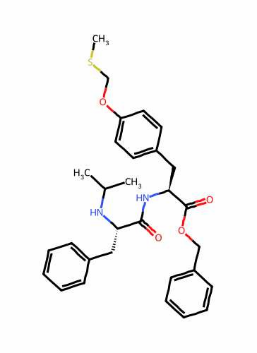 CSCOc1ccc(C[C@H](NC(=O)[C@H](Cc2ccccc2)NC(C)C)C(=O)OCc2ccccc2)cc1